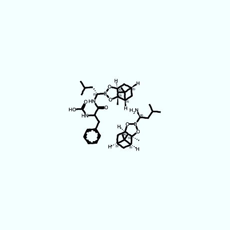 CC(C)C[C@@H](NC(=O)C(Cc1ccccc1)NC(=O)O)B1O[C@H]2C[C@@H]3C[C@@H](C3(C)C)[C@]2(C)O1.CC(C)C[C@H](N)B1O[C@@H]2C[C@@H]3C[C@@H](C3(C)C)[C@]2(C)O1